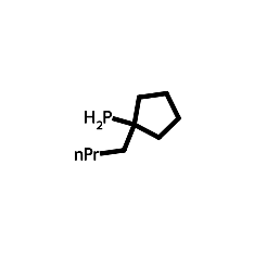 CCCCC1(P)CCCC1